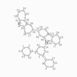 c1ccc(-c2cc(-c3ccccc3)cc(-n3c4ccccc4c4ccc(-c5ccc6sc7ccccc7c6c5)cc43)c2)cc1